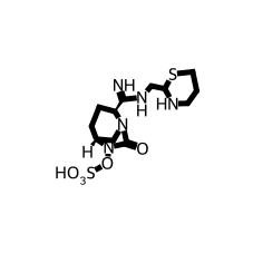 N=C(NCC1NCCCS1)[C@@H]1CC[C@@H]2CN1C(=O)N2OS(=O)(=O)O